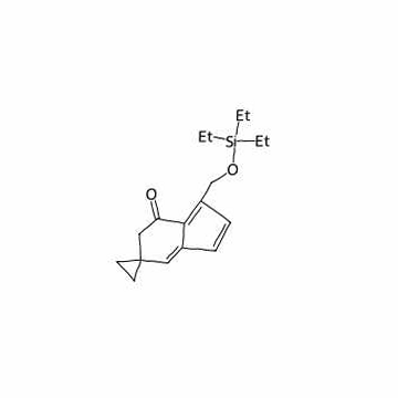 CC[Si](CC)(CC)OCC1=C2C(=O)CC3(C=C2C=C1)CC3